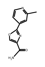 Cc1cc(-c2nc(C(N)=O)co2)ccn1